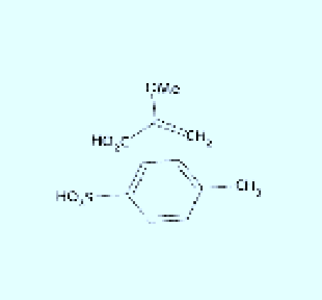 C=C(OC)C(=O)O.Cc1ccc(S(=O)(=O)O)cc1